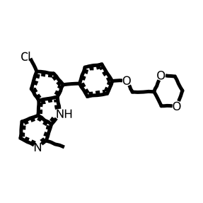 Cc1nccc2c1[nH]c1c(-c3ccc(OCC4COCCO4)cc3)cc(Cl)cc12